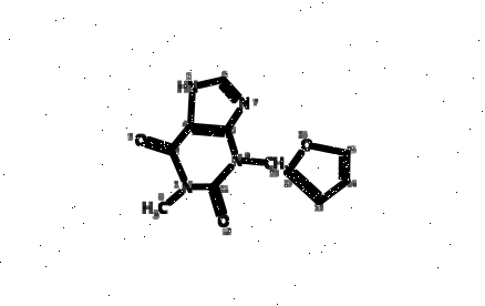 Cn1c(=O)c2[nH]cnc2n(C)c1=O.c1ccoc1